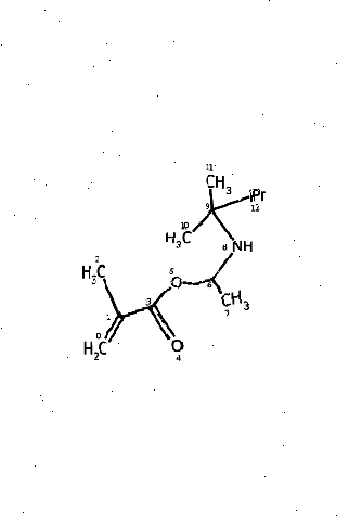 C=C(C)C(=O)OC(C)NC(C)(C)C(C)C